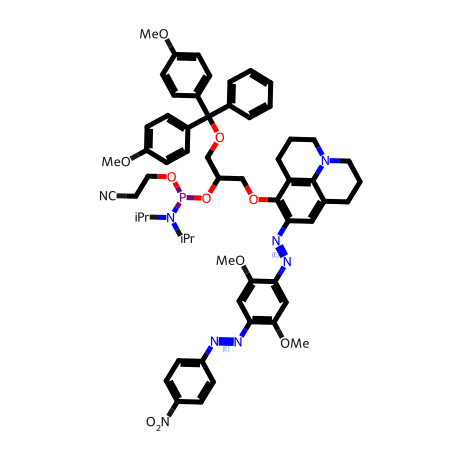 COc1ccc(C(OCC(COc2c(/N=N/c3cc(OC)c(/N=N/c4ccc([N+](=O)[O-])cc4)cc3OC)cc3c4c2CCCN4CCC3)OP(OCCC#N)N(C(C)C)C(C)C)(c2ccccc2)c2ccc(OC)cc2)cc1